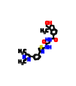 Cc1cc(-c2cccc(-c3csc(NC(=O)CNC(=O)c4ccc5c(c4)C(C)(CO)CC5)n3)c2)nc(C)n1